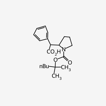 CCCCC(C)(C)OC(=O)N1CCCC1C(C(=O)O)c1ccccc1